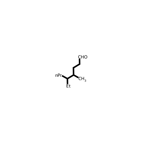 CCCC(CC)C(C)CCC=O